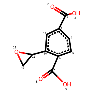 O=C(O)c1ccc(C(=O)O)c(C2CO2)c1